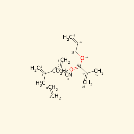 C=C.C=C(C)C(=O)O.C=CC#N.C=CCOC(=O)C(=C)C